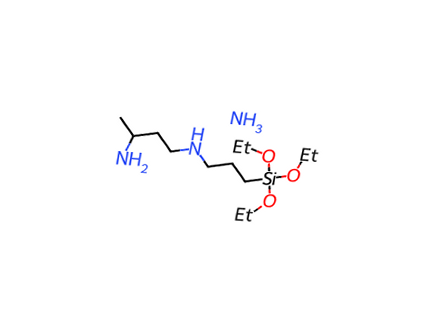 CCO[Si](CCCNCCC(C)N)(OCC)OCC.N